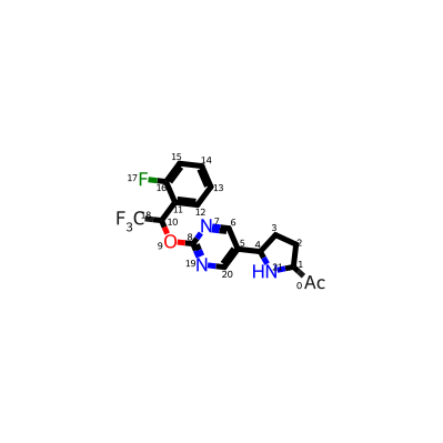 CC(=O)C1CCC(c2cnc(OC(c3ccccc3F)C(F)(F)F)nc2)N1